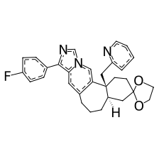 Fc1ccc(-c2ncn3cc4c(cc23)CCC[C@@H]2CC3(CC[C@@]42Cc2ccccn2)OCCO3)cc1